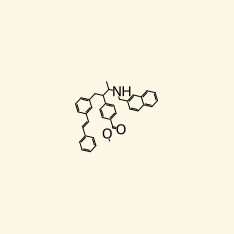 COC(=O)c1ccc(C(Cc2cccc(C=Cc3ccccc3)c2)C(C)NCc2ccc3ccccc3c2)cc1